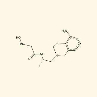 C[C@@H](CN1CCc2c(N)cccc2C1)NC(=O)CNO